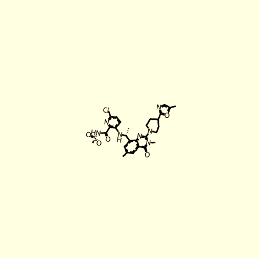 Cc1cc([C@@H](C)Nc2ccc(Cl)nc2C(=O)NS(C)(=O)=O)c2nc(N3CCC(c4ncc(C)o4)CC3)n(C)c(=O)c2c1